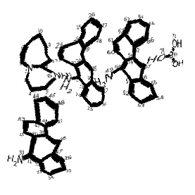 C1=CN2CCCNC2CCC1.Nc1c2ccccc2cc2c1ccc1ccccc12.Nc1c2ccccc2cc2c1ccc1ccccc12.Nc1c2ccccc2cc2c1ccc1ccccc12.OB(O)O